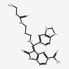 CCCC(=O)NCCCN/C(=C1\C(=O)Nc2ccc(C(C)=O)cc21)c1ccc2c(c1)OCO2